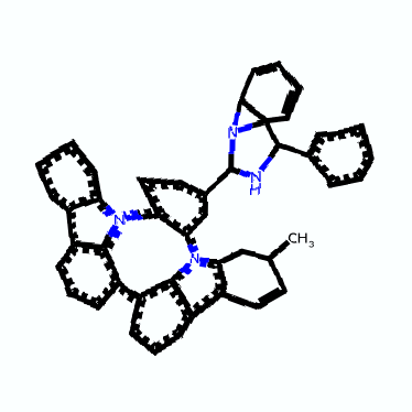 CC1C=Cc2c(n3c4cc(C5NC(c6ccccc6)C67C=CC=CC6N57)ccc4n4c5ccccc5c5cccc(c6cccc2c63)c54)C1